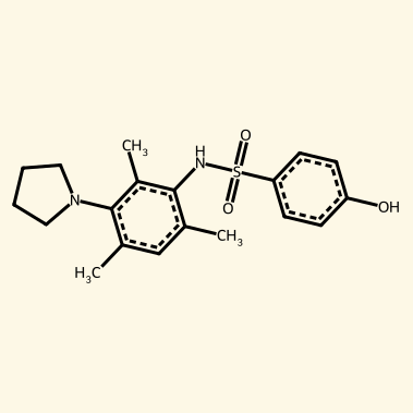 Cc1cc(C)c(N2CCCC2)c(C)c1NS(=O)(=O)c1ccc(O)cc1